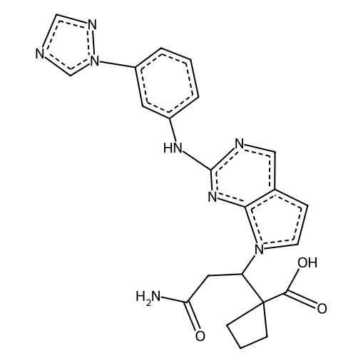 NC(=O)CC(n1ccc2cnc(Nc3cccc(-n4cncn4)c3)nc21)C1(C(=O)O)CCC1